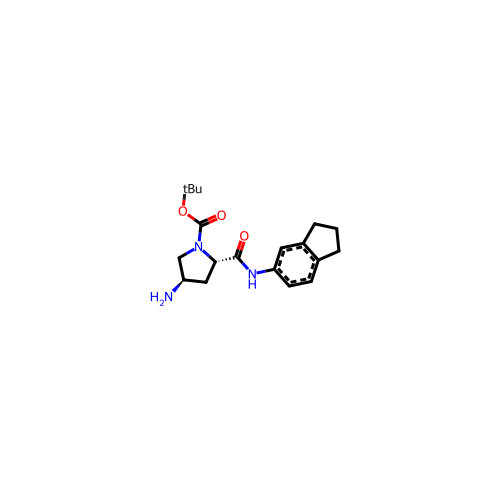 CC(C)(C)OC(=O)N1C[C@H](N)C[C@H]1C(=O)Nc1ccc2c(c1)CCC2